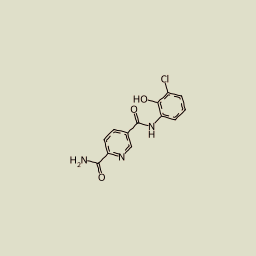 NC(=O)c1ccc(C(=O)Nc2cccc(Cl)c2O)cn1